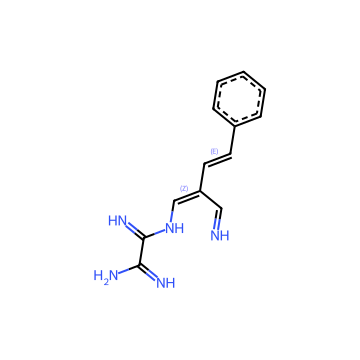 N=CC(=C\NC(=N)C(=N)N)/C=C/c1ccccc1